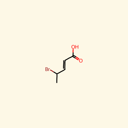 CC(Br)C=CC(=O)O